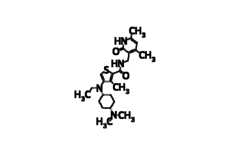 CCN(c1csc(C(=O)NCc2c(C)cc(C)[nH]c2=O)c1C)[C@H]1CC[C@@H](N(C)C)CC1